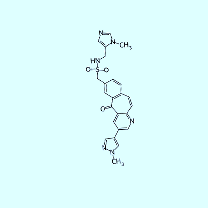 Cn1cc(-c2cnc3ccc4ccc(CS(=O)(=O)NCc5cncn5C)cc4c(=O)c3c2)cn1